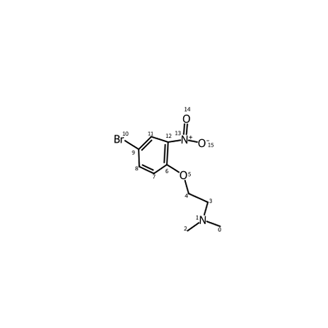 CN(C)CCOc1ccc(Br)cc1[N+](=O)[O-]